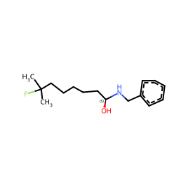 CC(C)(F)CCCCC[C@H](O)NCc1ccccc1